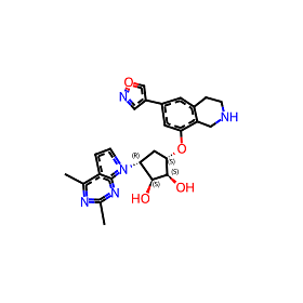 Cc1nc(C)c2ccn([C@@H]3C[C@H](Oc4cc(-c5cnoc5)cc5c4CNCC5)[C@@H](O)[C@H]3O)c2n1